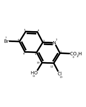 O=C(O)c1nc2ccc(Br)cc2c(O)c1Cl